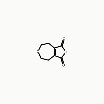 O=C1OC(=O)C2=C1CCOCC2